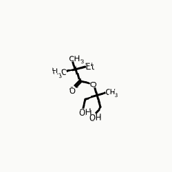 CCC(C)(C)C(=O)OC(C)(CO)CO